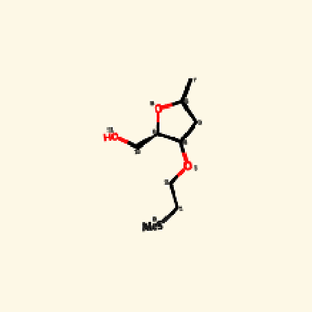 CSCCOC1CC(C)O[C@@H]1CO